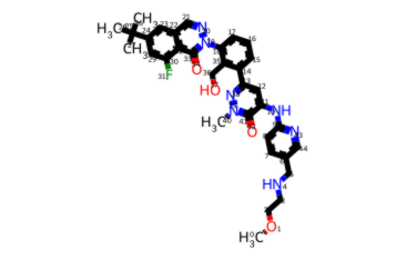 COCCNCc1ccc(Nc2cc(-c3cccc(-n4ncc5cc(C(C)(C)C)cc(F)c5c4=O)c3CO)nn(C)c2=O)nc1